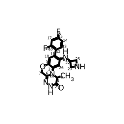 CC1C(=O)NN=C2COc3cc(-c4ccc(F)cc4F)c(NC4CNC4)cc3N21